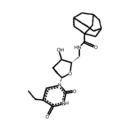 CCc1cn([C@@H]2CC(O)[C@H](CNC(=O)C34CC5CC(CC(C5)C3)C4)O2)c(=O)[nH]c1=O